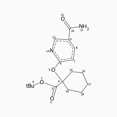 CC(C)(C)OC(=O)C1(Oc2ccc(C(N)=O)cn2)CCCCC1